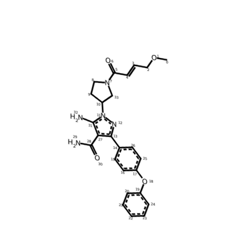 COCC=CC(=O)N1CCC(n2nc(-c3ccc(Oc4ccccc4)cc3)c(C(N)=O)c2N)C1